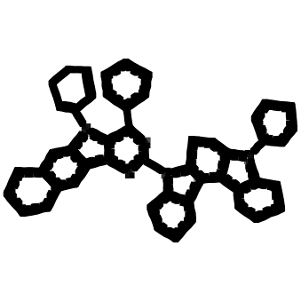 C1=CC(n2c3cc4ccccc4cc3c3nc(-n4c5ccccc5c5c6c7ccccc7n(-c7ccccc7)c6ccc54)nc(-c4ccccc4)c32)=CCC1